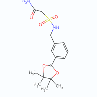 CC1(C)OB(c2cccc(CNS(=O)(=O)CC(N)=O)c2)OC1(C)C